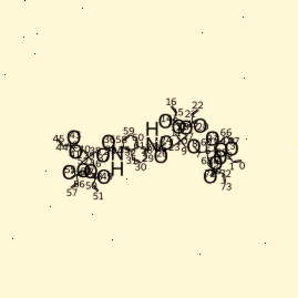 C=CC(=O)OCC(COCC(COC(=O)C=C)(COC(=O)C=C)COC(=O)Nc1cccc2c(NC(=O)OCC(COC(=O)C=C)(COC(=O)C=C)COC(=O)C=C)cccc12)(COC(=O)C=C)COC(=O)C=C